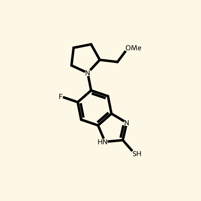 COCC1CCCN1c1cc2nc(S)[nH]c2cc1F